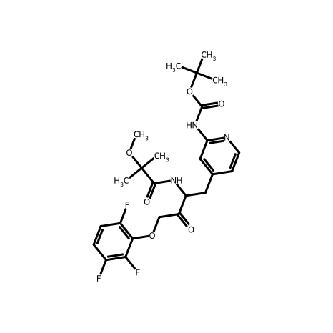 COC(C)(C)C(=O)NC(Cc1ccnc(NC(=O)OC(C)(C)C)c1)C(=O)COc1c(F)ccc(F)c1F